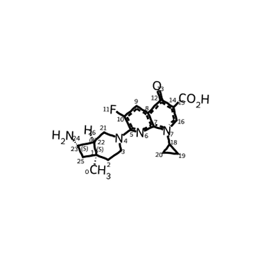 C[C@@]12CCN(c3nc4c(cc3F)c(=O)c(C(=O)O)cn4C3CC3)C[C@@H]1[C@@H](N)C2